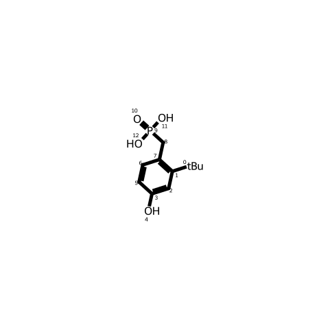 CC(C)(C)c1cc(O)ccc1CP(=O)(O)O